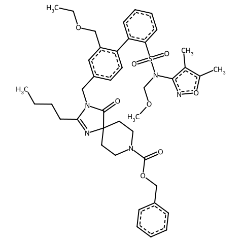 CCCCC1=NC2(CCN(C(=O)OCc3ccccc3)CC2)C(=O)N1Cc1ccc(-c2ccccc2S(=O)(=O)N(COC)c2noc(C)c2C)c(COCC)c1